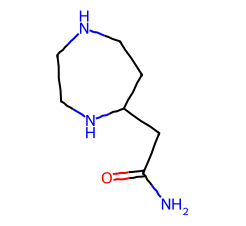 NC(=O)CC1CCNCCN1